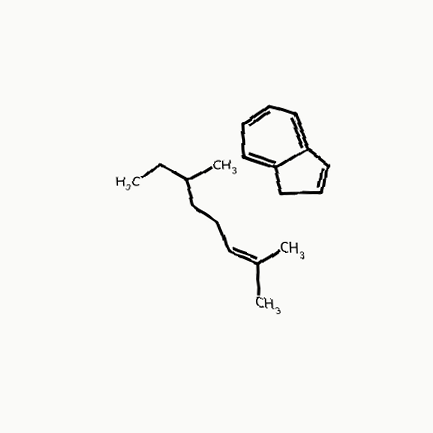 C1=Cc2ccccc2C1.CCC(C)CCC=C(C)C